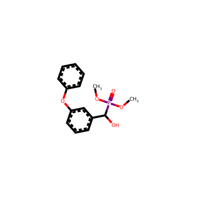 COP(=O)(OC)C(O)c1cccc(Oc2ccccc2)c1